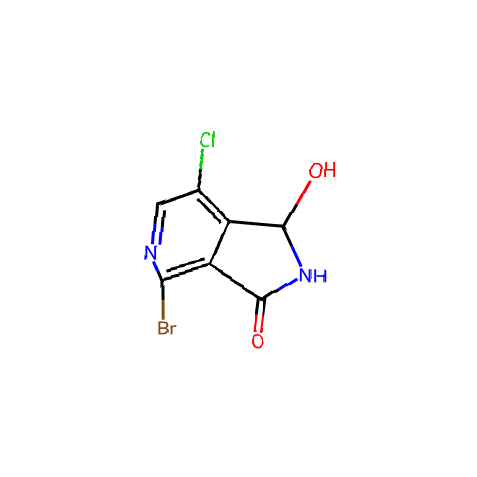 O=C1NC(O)c2c(Cl)cnc(Br)c21